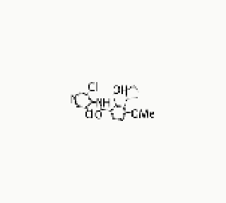 COc1ccc(C(=O)Nc2c(Cl)cncc2Cl)c(CO)c1C1CCCC1